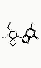 Nc1nc2c(ncn2[C@@H]2O[C@H](CO)[C@@H](O)[C@@]23CCO3)c(=O)[nH]1